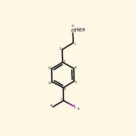 CCCCCCCCc1ccc(C(C)I)cc1